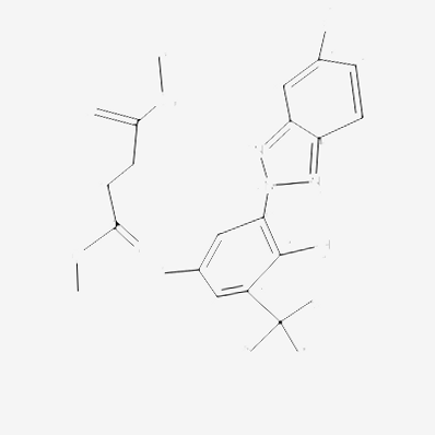 COC(=O)CCC(=O)OC.Cc1cc(-n2nc3ccc(Cl)cc3n2)c(O)c(C(C)(C)C)c1